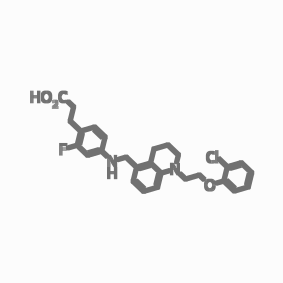 O=C(O)CCc1ccc(NCc2cccc3c2CCCN3CCOc2ccccc2Cl)cc1F